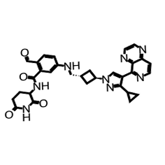 O=Cc1ccc(NC[C@H]2C[C@H](n3cc(-c4nccc5nccnc45)c(C4CC4)n3)C2)cc1C(=O)NC1CCC(=O)NC1=O